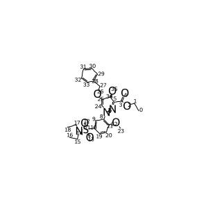 CCOC(=O)c1nn(-c2cc(S(=O)(=O)N(CC)CC)ccc2OC)cc(OCc2ccccc2)c1=O